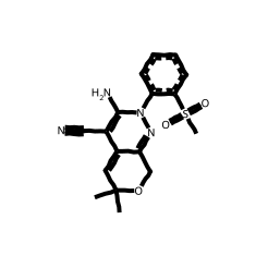 CC1(C)C=C2C(=NN(c3ccccc3S(C)(=O)=O)C(N)=C2C#N)CO1